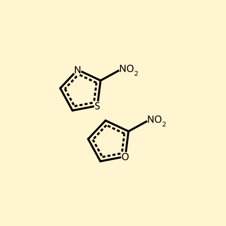 O=[N+]([O-])c1ccco1.O=[N+]([O-])c1nccs1